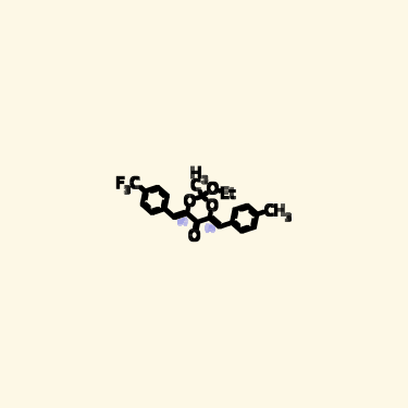 CCOC1(C)O/C(=C\c2ccc(C)cc2)C(=O)/C(=C/c2ccc(C(F)(F)F)cc2)O1